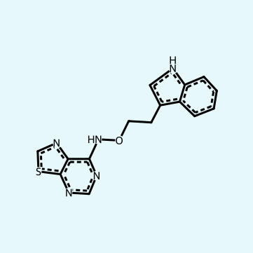 c1ccc2c(CCONc3ncnc4scnc34)c[nH]c2c1